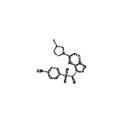 O=C(c1cnc2ccc(N3CCC(F)C3)nn12)S(=O)(=O)c1ccc([N+](=O)[O-])cc1